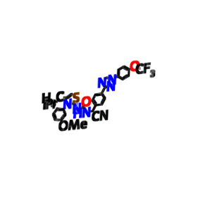 COc1ccc(C(C)C)c(-n2c(C)cs/c2=N\C(=O)NC(C#N)c2ccc(-c3ncn(-c4ccc(OC(F)(F)F)cc4)n3)cc2)c1